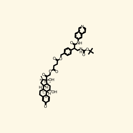 C[C@@H]1C[C@H]2[C@@H]3CCC4=CC(=O)C=C[C@]4(C)[C@H]3[C@@H](O)C[C@]2(C)[C@@]1(O)C(=O)COC(=O)CCC(=O)OCc1ccc(C(CNC(=O)OC(C)(C)C)C(=O)Nc2ccc3cnccc3c2)cc1